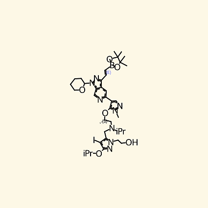 CC(C)Oc1nn(CCO)c(CN(C[C@H](C)Oc2c(-c3cc4c(/C=C/B5OC(C)(C)C(C)(C)O5)nn(C5CCCCO5)c4cn3)cnn2C)C(C)C)c1I